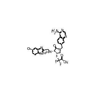 Nc1ncnc2cc(CN3CC[C@H](NCc4nc5cc(Cl)ccc5[nH]4)C3=O)ccc12.O=C(O)C(F)(F)F